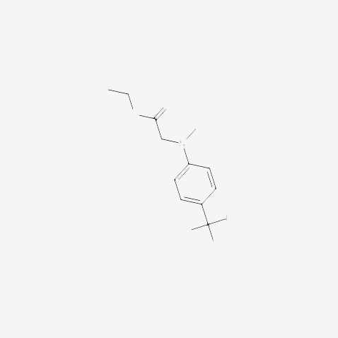 CCOC(=O)CN(C)c1ccc(C(F)(F)F)cc1